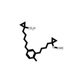 Cc1ccc(CCCCCC2(C(=O)O)CC2)cc1CCCCC1(OC=O)CC1